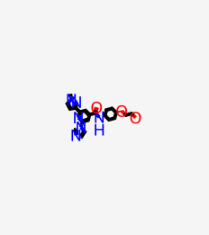 COCCO[C@H]1CC[C@H](NC(=O)c2cc(-c3ccn(C)n3)nc(-n3ccnc3)c2)CC1